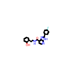 O=C(NCCc1ccccc1O)c1ccnc2[nH]c(-c3ccc(F)cc3)nc12